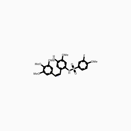 COc1cc(NS(=O)(=O)c2ccc(OC)c(F)c2)c(/C=C\c2cc(OC)c(OC)c(OC)c2)cc1O